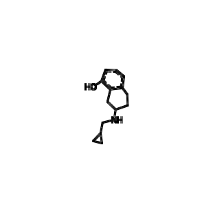 Oc1cccc2c1CC(NCC1CC1)CC2